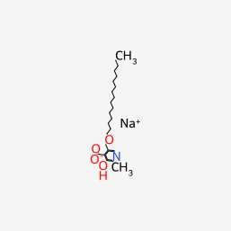 CCCCCCCCCCCCCCCCOCc1cnc(C)c(O)c1C(=O)[O-].[Na+]